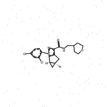 O=C(NCC1CCOCC1)c1nn(-c2ccc(Cl)cc2Cl)c2c1C[C@H]1C[C@@H]21